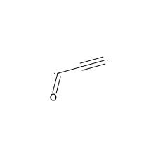 [C]#C[C]=O